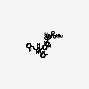 Cc1cccc(-c2nc(CCc3ccccc3F)[nH]c2-c2ccc3ncc(C(O)CNC(=O)OC(C)(C)C)nc3c2)n1